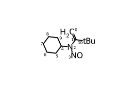 C=C(N(N=O)C1CCCCC1)C(C)(C)C